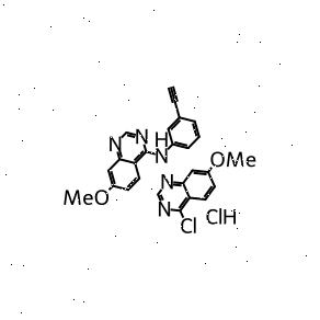 C#Cc1cccc(Nc2ncnc3cc(OC)ccc23)c1.COc1ccc2c(Cl)ncnc2c1.Cl